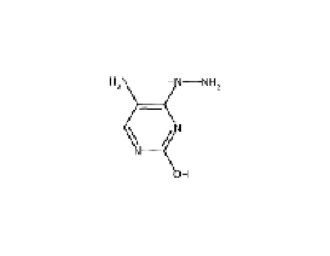 NNc1nc(O)ncc1N